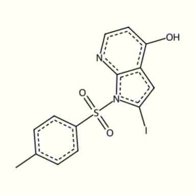 Cc1ccc(S(=O)(=O)n2c(I)cc3c(O)ccnc32)cc1